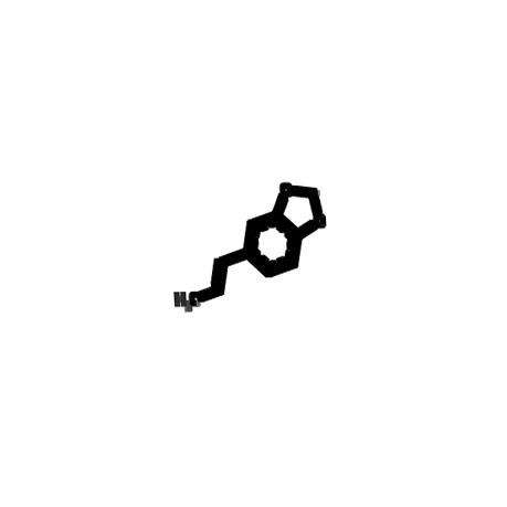 C/C=C/c1ccc2c(c1)O[CH]O2